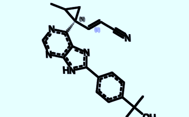 CC1C[C@]1(/C=C/C#N)c1ncnc2[nH]c(-c3ccc(C(C)(C)O)cc3)nc12